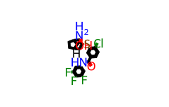 NC[C@]1(O)C2CC[C@H]1C[C@H](Sc1cc(C(=O)Nc3cc(F)c(F)c(F)c3)ccc1Cl)C2